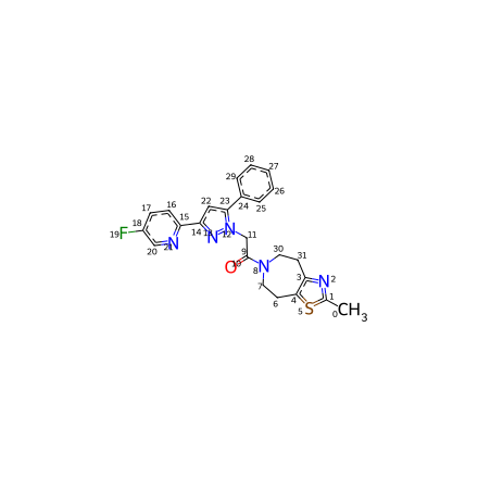 Cc1nc2c(s1)CCN(C(=O)Cn1nc(-c3ccc(F)cn3)cc1-c1ccccc1)CC2